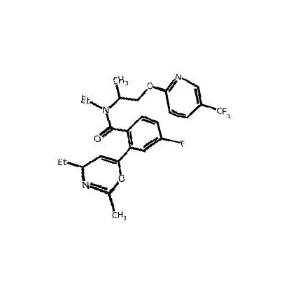 CCC1C=C(c2cc(F)ccc2C(=O)N(CC)C(C)COc2ccc(C(F)(F)F)cn2)OC(C)=N1